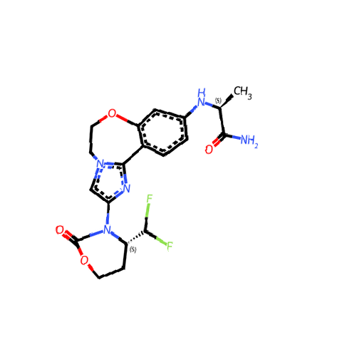 C[C@H](Nc1ccc2c(c1)OCCn1cc(N3C(=O)OCC[C@H]3C(F)F)nc1-2)C(N)=O